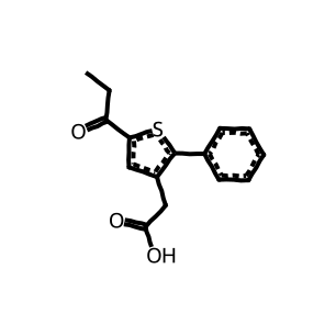 CCC(=O)c1cc(CC(=O)O)c(-c2ccccc2)s1